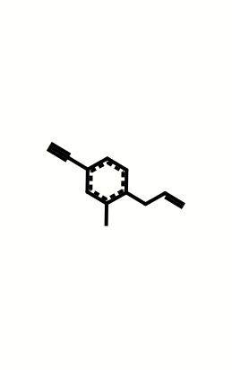 C#Cc1ccc(CC=C)c(C)c1